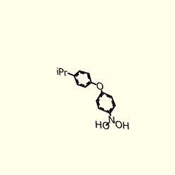 CC(C)c1ccc(Oc2ccc(N(O)O)cc2)cc1